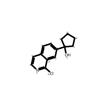 OC1(c2ccc3ccnc(Cl)c3c2)CCCC1